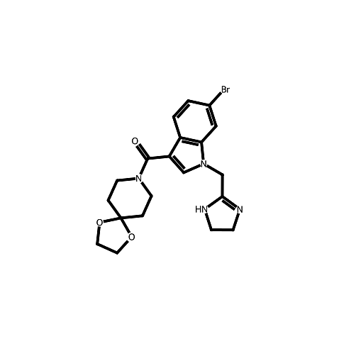 O=C(c1cn(CC2=NCCN2)c2cc(Br)ccc12)N1CCC2(CC1)OCCO2